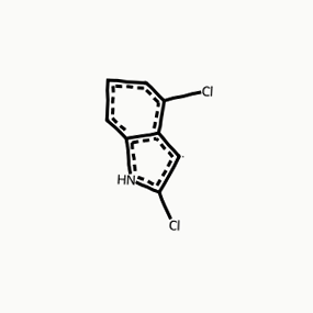 Clc1[c]c2c(Cl)cccc2[nH]1